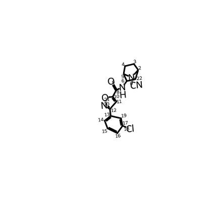 N#CN1C2CCC1C(NC(=O)c1cc(-c3cccc(Cl)c3)no1)C2